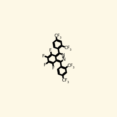 Fc1c(F)c(F)c2c(-c3ccc(C(F)(F)F)cc3C(F)(F)F)nnc(-c3ccc(C(F)(F)F)cc3C(F)(F)F)c2c1F